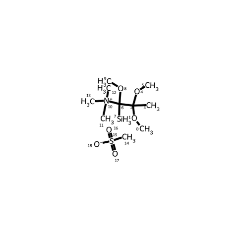 COC(C)(OC)C([SiH3])(OC)[N+](C)(C)C.CS(=O)(=O)[O-]